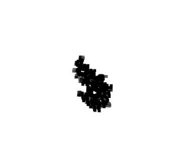 [2H]c1nc(C([2H])([2H])[S+]([O-])c2nc3nc(OC)ccc3n2[2H])c(C([2H])([2H])[2H])c(OC)c1C([2H])([2H])[2H]